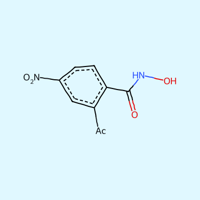 CC(=O)c1cc([N+](=O)[O-])ccc1C(=O)NO